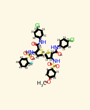 COc1ccc(S(=O)(=O)Nc2ccsc2C(=O)Nc2ccc(Cl)cc2)cc1.O=C(Nc1ccc(Cl)cc1)c1sccc1NS(=O)(=O)c1ccccc1F